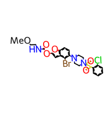 COCCNC(=O)Oc1cc2c(Br)c(N3CCN(S(=O)(=O)c4ccccc4Cl)CC3)ccc2o1